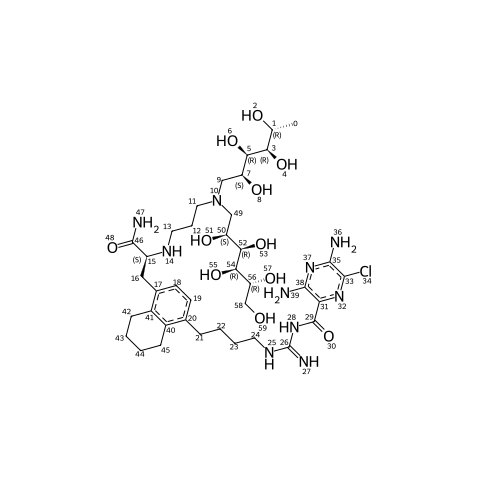 C[C@@H](O)[C@@H](O)[C@H](O)[C@@H](O)CN(CCCN[C@@H](Cc1ccc(CCCCNC(=N)NC(=O)c2nc(Cl)c(N)nc2N)c2c1CCCC2)C(N)=O)C[C@H](O)[C@@H](O)[C@H](O)[C@H](O)CO